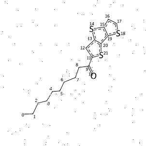 CCCCCCCCCC(=O)c1cc2sc3ccsc3c2s1